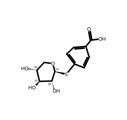 O=C(O)c1ccc(S[C@@H]2OC[C@@H](O)[C@H](O)[C@H]2O)cc1